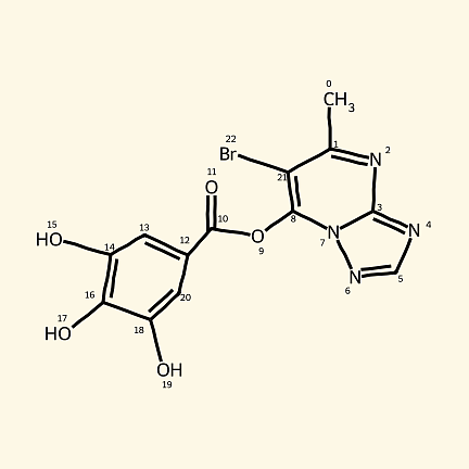 Cc1nc2ncnn2c(OC(=O)c2cc(O)c(O)c(O)c2)c1Br